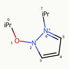 CC(C)On1ccc[n+]1C(C)C